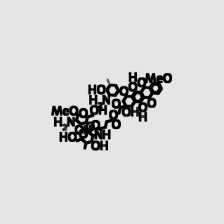 COc1cccc2c1C(=O)c1c(O)c3c(c(O)c1C2=O)C[C@@](O)(C(=O)COC(=O)CCC(=O)NC1C(OC2C(CO)OC(OC)C(N)C2O)OC(CO)C(C)C1O)C[C@@H]3OC1C[C@@H](C)[C@@H](O)[C@@H](N)C1